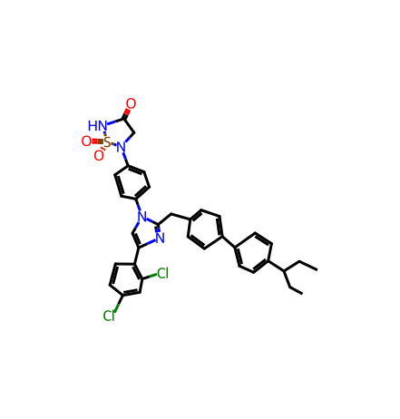 CCC(CC)c1ccc(-c2ccc(Cc3nc(-c4ccc(Cl)cc4Cl)cn3-c3ccc(N4CC(=O)NS4(=O)=O)cc3)cc2)cc1